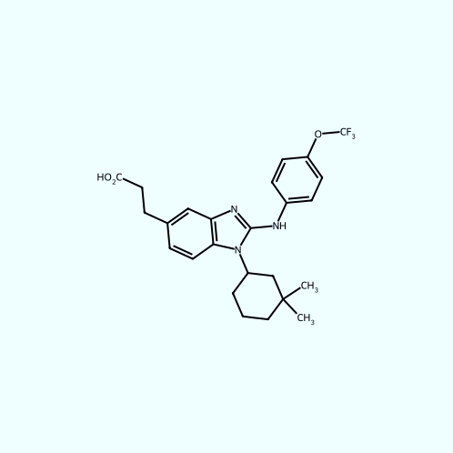 CC1(C)CCCC(n2c(Nc3ccc(OC(F)(F)F)cc3)nc3cc(CCC(=O)O)ccc32)C1